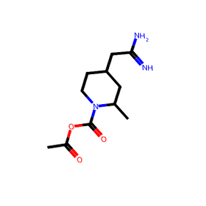 CC(=O)OC(=O)N1CCC(CC(=N)N)CC1C